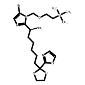 C[Si](C)(C)CCOCn1c(Br)cnc1[C@@H](N)CCCCCC1(c2ncco2)OCCO1